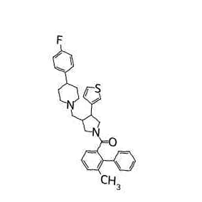 Cc1cccc(C(=O)N2CC(CN3CCC(c4ccc(F)cc4)CC3)C(c3ccsc3)C2)c1-c1ccccc1